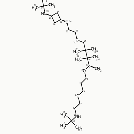 C[C@@H](OCCCOCCNC(C)(C)C)C(C)(C)C(C)(C)COCCO[C@H]1C[C@@H](NC(C)(C)C)C1